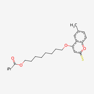 Cc1ccc2oc(=S)cc(OCCCCCCCCOC(=O)C(C)C)c2c1